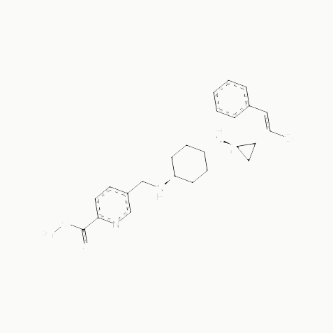 CCC(=Cc1ccccc1)[C@@H]1C[C@H]1N[C@H]1CC[C@H](NCc2ccc(C(=O)OC(C)(C)C)nc2)CC1